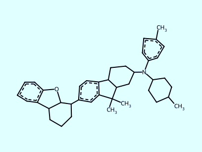 Cc1ccc(N(C2CCC(C)CC2)C2CCC3c4ccc(C5CCCC6c7ccccc7OC56)cc4C(C)(C)C3C2)cc1